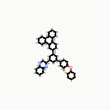 c1ccc2c(c1)Oc1ccc(-c3cc(-c4ccc5c6ccccc6c6ccccc6c5c4)cc(-c4cnc5ccccc5n4)c3)cc1S2